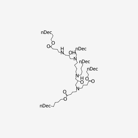 CCCCCCCCCCCCCCOC(=O)CCCN(CCCC(=O)OCCCCCCCCCCCC)CC(O)CN(CCCCCCCCCCCCCC)CCCCN(CCCCCCCCCCCC)CC(O)CNCCCC(=O)OCCCCCCCCCCCC